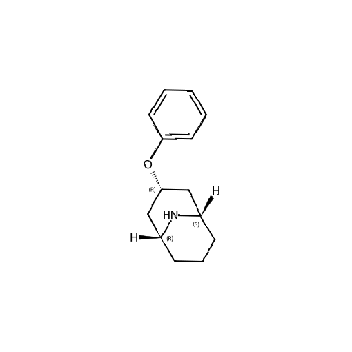 c1ccc(O[C@H]2C[C@H]3CCC[C@@H](C2)N3)cc1